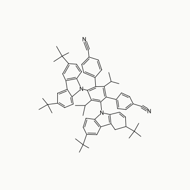 CC(C)c1c(-c2ccc(C#N)cc2)c(-n2c3c(c4cc(C(C)(C)C)ccc42)CC(C(C)(C)C)C=C3)c(C(C)C)c(-n2c3ccc(C(C)(C)C)cc3c3cc(C(C)(C)C)ccc32)c1-c1ccc(C#N)cc1